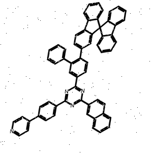 c1ccc(-c2cc(-c3nc(-c4ccc(-c5ccncc5)cc4)nc(-c4ccc5ccccc5c4)n3)ccc2-c2ccc3c(c2)C2(c4ccccc4-c4ccccc42)c2ccccc2-3)cc1